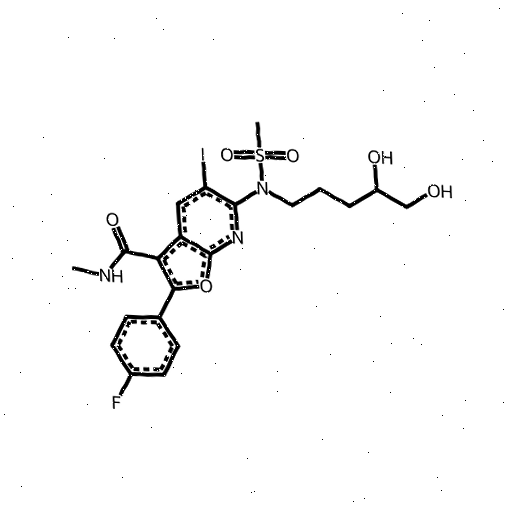 CNC(=O)c1c(-c2ccc(F)cc2)oc2nc(N(CCCC(O)CO)S(C)(=O)=O)c(I)cc12